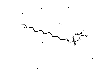 CCCCCCCCCCCCOS(=O)(=O)OS(=O)(=O)[O-].[Na+]